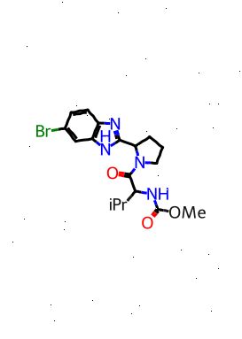 COC(=O)NC(C(=O)N1CCCC1c1nc2ccc(Br)cc2[nH]1)C(C)C